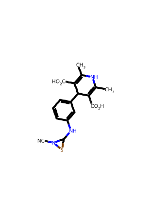 CC1=C(C(=O)O)C(c2cccc(NC3SN3C#N)c2)C(C(=O)O)=C(C)N1